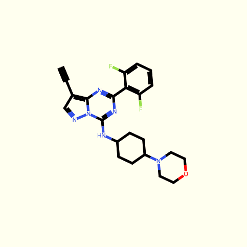 C#Cc1cnn2c(NC3CCC(N4CCOCC4)CC3)nc(-c3c(F)cccc3F)nc12